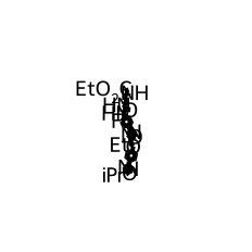 CCOC(=O)NCCNC(=O)Nc1ccc(-c2noc(C(CC)Oc3ccc(-c4noc(C(C)C)n4)cc3)n2)cc1F